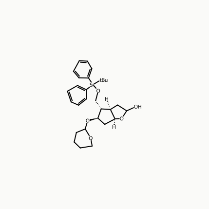 CC(C)(C)[Si](OC[C@@H]1[C@H]2CC(O)O[C@H]2C[C@H]1OC1CCCCO1)(c1ccccc1)c1ccccc1